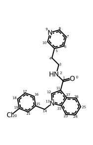 O=C(NCCc1cccnc1)c1cn(Cc2cccc(Cl)c2)c2ccccc12